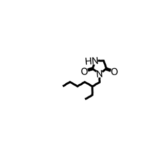 CCCCC(CC)CN1C(=O)CNC1=O